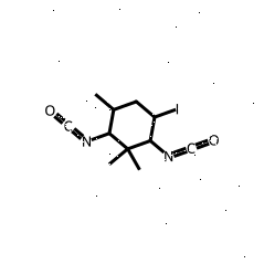 CC1CC(I)C(N=C=O)C(C)(C)C1N=C=O